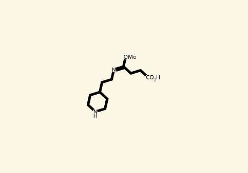 COC(CCC(=O)O)=NCCC1CCNCC1